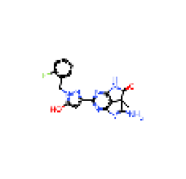 CC12C(=O)Nc3nc(-c4cc(O)n(Cc5ccccc5F)n4)nc(c31)N=C2N